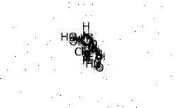 CC(=O)NCC1CCN(Cc2cc(OC3=C/N=C/NCCN(CCC(=O)O)CC/N=C\3)nc(-c3cc(Cl)cc(C(F)F)c3)c2)CC1